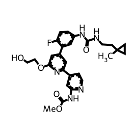 COC(=O)Nc1cc(-c2cc(-c3cc(NC(=O)NCCC4(C)CC4)ccc3F)cc(OCCO)n2)ccn1